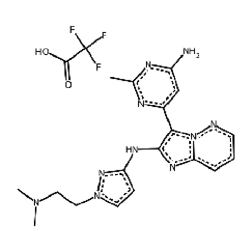 Cc1nc(N)cc(-c2c(Nc3ccn(CCN(C)C)n3)nc3cccnn23)n1.O=C(O)C(F)(F)F